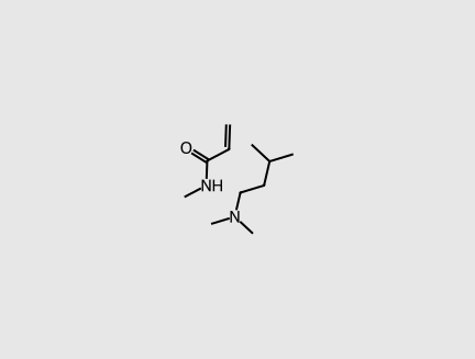 C=CC(=O)NC.CC(C)CCN(C)C